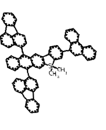 C[Si]1(C)c2cc(-c3cc4ccccc4c4ccccc34)ccc2-c2cc3c(-c4ccc5c6c(cccc46)-c4ccccc4-5)c4ccccc4c(-c4ccc5c6c(cccc46)-c4ccccc4-5)c3cc21